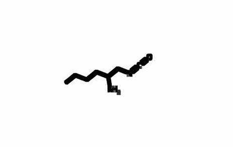 CCCCC(N)CN=C=O